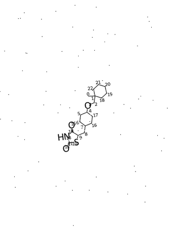 CC1(COC2CCC(CC3SC(=O)NC3=O)CC2)CCCCC1